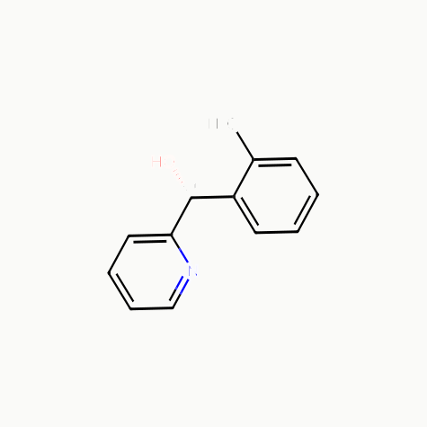 Cc1ccccc1[C@@H](O)c1ccccn1